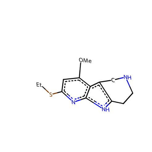 CCSc1cc(OC)c2c3c([nH]c2n1)CCNC3